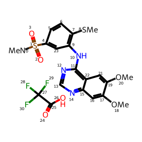 CNS(=O)(=O)c1ccc(SC)c(Nc2ncnc3cc(OC)c(OC)cc23)c1.O=C(O)C(F)(F)F